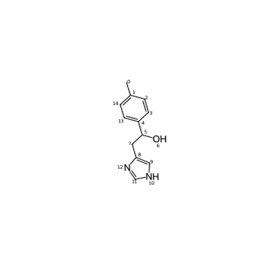 Cc1ccc(C(O)Cc2c[nH]cn2)cc1